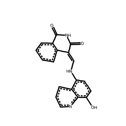 O=C1NC(=O)c2ccccc2/C1=C\Nc1ccc(O)c2ncccc12